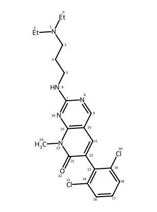 CCN(CC)CCCNc1ncc2cc(-c3c(Cl)cccc3Cl)c(=O)n(C)c2n1